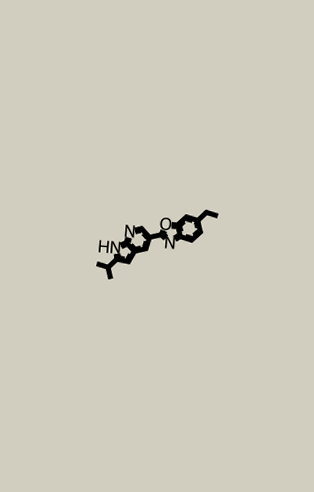 CCc1ccc2nc(-c3cnc4[nH]c(C(C)C)cc4c3)oc2c1